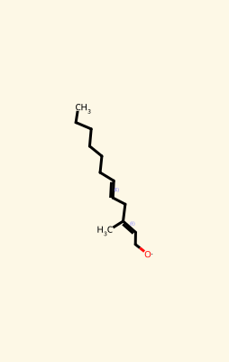 CCCCCC/C=C/C/C(C)=C/C[O]